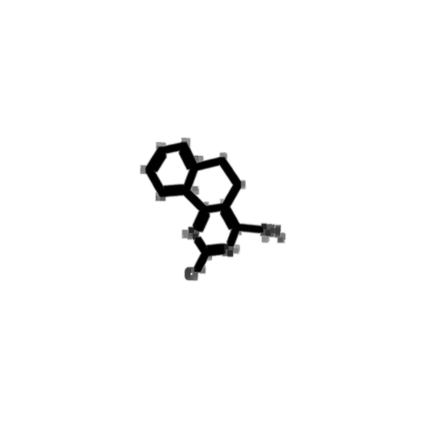 Nc1nc(Cl)nc2c1CCc1ccccc1-2